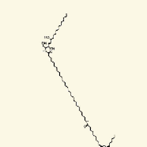 CCCCC/C=C\C/C=C\CCCCCCCC(=O)OCCCCCCCCCCCCCCCCCCCCCCCCCCCC(=O)NC(CO)C(O)/C=C/C(O)CCCCCCCCCCCC